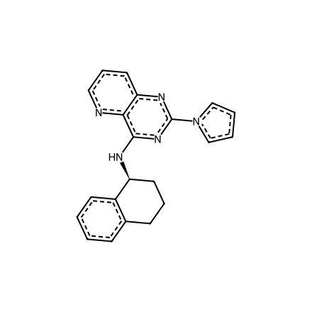 c1ccc2c(c1)CCC[C@@H]2Nc1nc(-n2cccc2)nc2cccnc12